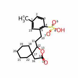 Cc1ccc(S(=O)(=O)O)c(CCC2OC(=O)CC23CCCCC3)c1